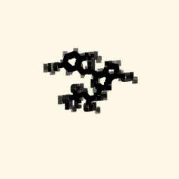 Cc1ccc(N)c(CNc2nc(NC(C)CC(C)(C)O)nc3c2ncn3C)c1